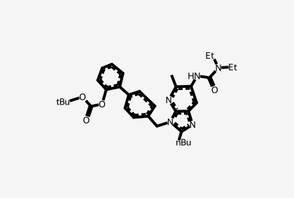 CCCCc1nc2cc(NC(=O)N(CC)CC)c(C)nc2n1Cc1ccc(-c2ccccc2OC(=O)OC(C)(C)C)cc1